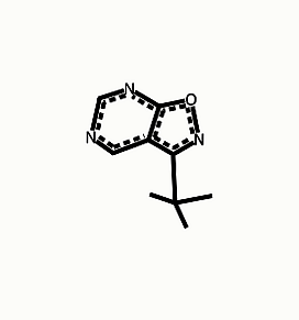 CC(C)(C)c1noc2ncncc12